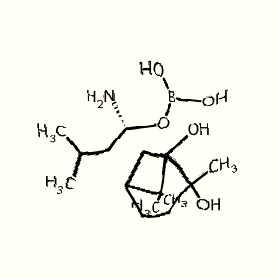 CC(C)C[C@H](N)OB(O)O.CC1(O)CCC2CC1(O)C2(C)C